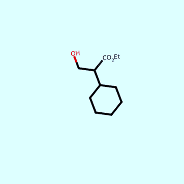 CCOC(=O)C(CO)C1CCCCC1